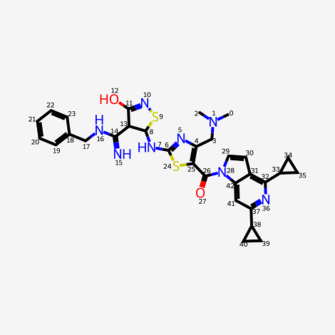 CN(C)Cc1nc(NC2SN=C(O)C2C(=N)NCc2ccccc2)sc1C(=O)n1ccc2c(C3CC3)nc(C3CC3)cc21